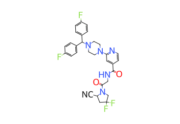 N#CC1CC(F)(F)CN1C(=O)CNC(=O)c1ccnc(N2CCN(C(c3ccc(F)cc3)c3ccc(F)cc3)CC2)c1